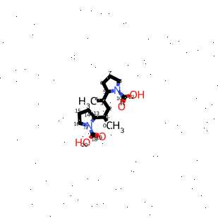 CC(CC(C)C1CCCN1C(=O)O)C1CCCN1C(=O)O